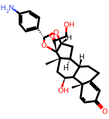 C[C@]12C=CC(=O)C=C1CC[C@@H]1C2[C@@H](O)C[C@@]2(C)[C@H]1C[C@H]1O[C@@H](c3ccc(N)cc3)O[C@]12C(=O)CO